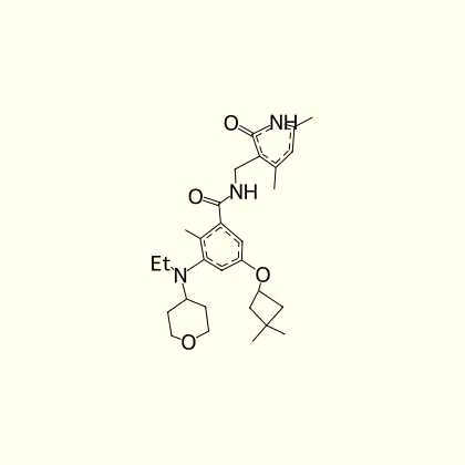 CCN(c1cc(OC2CC(C)(C)C2)cc(C(=O)NCc2c(C)cc(C)[nH]c2=O)c1C)C1CCOCC1